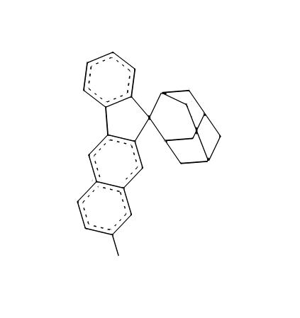 Clc1ccc2cc3c(cc2c1)C1(c2ccccc2-3)C2CC3CC(C2)CC1C3